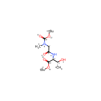 C[C@@H](O)[C@H](NC(=O)CN(C)C(=O)OC(C)(C)C)C(=O)OC(C)(C)C